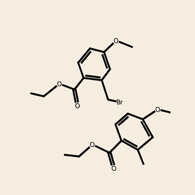 CCOC(=O)c1ccc(OC)cc1C.CCOC(=O)c1ccc(OC)cc1CBr